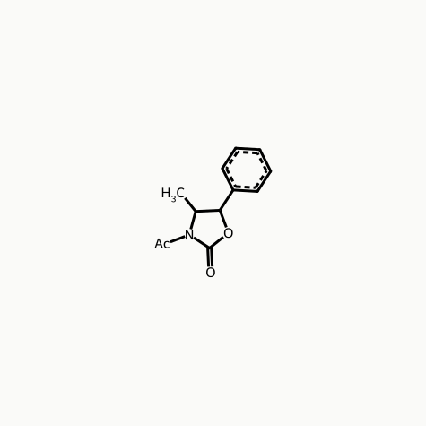 CC(=O)N1C(=O)OC(c2ccccc2)C1C